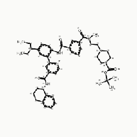 CCN(CC)c1ccc(NC(=O)c2cccc(C(=O)N(C)CCN3CCN(C(=O)OC(C)(C)C)CC3)c2)c(-c2cc(C(=O)N[C@H]3CCCc4ccccc43)ccn2)c1